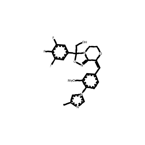 COc1cc(/C=C2/OCCN3C2=NOC3(CO)c2cc(F)c(F)c(F)c2)ccc1-n1cnc(C)c1